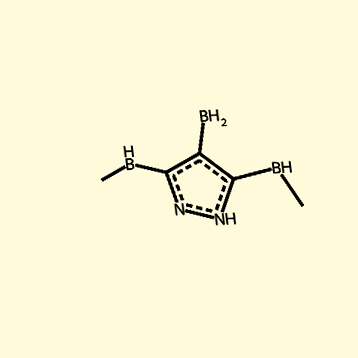 Bc1c(BC)n[nH]c1BC